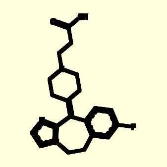 O=C(O)CCN1CCC(=C2c3ccc(F)cc3CCn3ccnc32)CC1